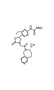 CNC(=O)Nc1ccc2c(c1)CC[C@@]21CN(CC(=O)N2Cc3ccncc3CC[C@H]2C2CC2)C(=O)O1